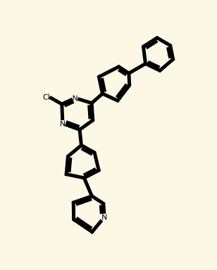 Clc1nc(-c2ccc(-c3ccccc3)cc2)cc(-c2ccc(-c3cccnc3)cc2)n1